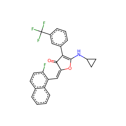 O=C1C(c2cccc(C(F)(F)F)c2)=C(NC2CC2)O/C1=C/c1c(F)ccc2ccccc12